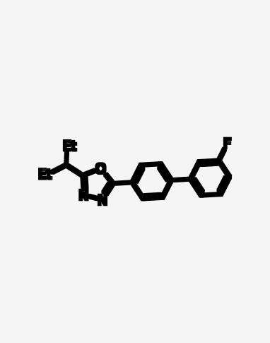 CCC(CC)c1nnc(-c2ccc(-c3cccc(F)c3)cc2)o1